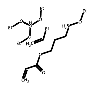 C=CC(=O)OCCC[SiH2]OCC.C=CCC.CCO[SiH](OCC)OCC